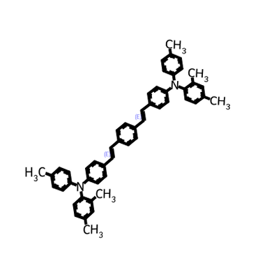 Cc1ccc(N(c2ccc(/C=C/c3ccc(/C=C/c4ccc(N(c5ccc(C)cc5)c5ccc(C)cc5C)cc4)cc3)cc2)c2ccc(C)cc2C)cc1